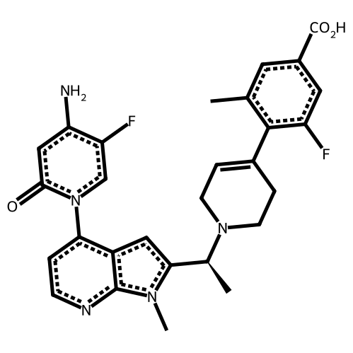 Cc1cc(C(=O)O)cc(F)c1C1=CCN([C@@H](C)c2cc3c(-n4cc(F)c(N)cc4=O)ccnc3n2C)CC1